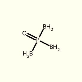 BP(B)(B)=O